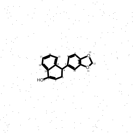 OC1=CCC(c2ccc3c(c2)OCO3)c2ccccc21